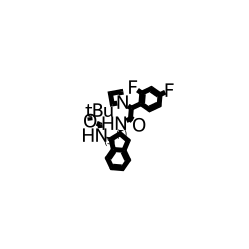 CC(C)(C)OCN[C@H]1c2ccccc2C[C@@H]1NC(=O)C(c1ccc(F)cc1F)N1CCC1